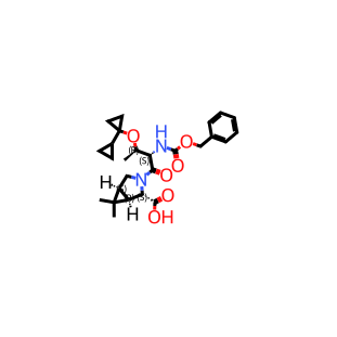 C[C@@H](OC1(C2CC2)CC1)[C@H](NC(=O)OCc1ccccc1)C(=O)N1C[C@H]2[C@@H]([C@H]1C(=O)O)C2(C)C